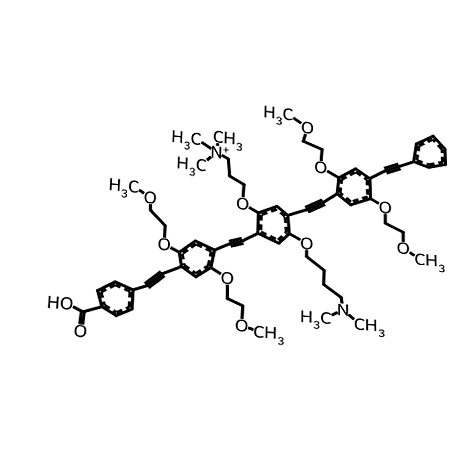 COCCOc1cc(C#Cc2cc(OCCC[N+](C)(C)C)c(C#Cc3cc(OCCOC)c(C#Cc4ccc(C(=O)O)cc4)cc3OCCOC)cc2OCCCCN(C)C)c(OCCOC)cc1C#Cc1ccccc1